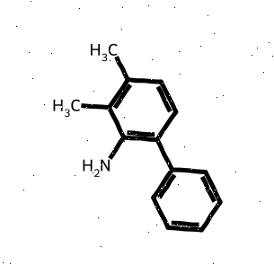 Cc1ccc(-c2ccccc2)c(N)c1C